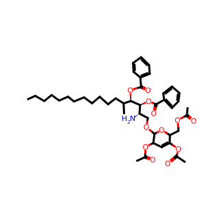 CCCCCCCCCCCCC(C)[C@@H](OC(=O)c1ccccc1)[C@@H](OC(=O)c1ccccc1)[C@@H](N)COC1OC(COC(C)=O)C(OC(C)=O)=CC1OC(C)=O